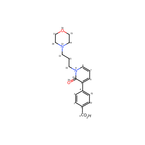 O=C(O)c1ccc(-c2cccn(CCCN3CCOCC3)c2=O)cc1